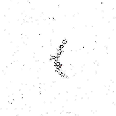 CC(C)C1=C2C3CC[C@@H]4[C@@]5(C)CC[C@H](OC(=O)[C@H]6C[C@@H](C(=O)O)C6(C)C)C(C)(C)[C@@H]5CC[C@@]4(C)[C@]3(C)CC[C@@]2(CC(=O)NCC(C)(C)NC(=O)c2ccc(N3CCOCC3)cc2)CC1=O